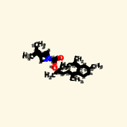 CC(C)=C1CN(C(=O)OC(C)(C)CC/C(C)=C2/CC[C@@H](C)CC2=C(C)C)C1